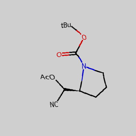 CC(=O)OC(C#N)[C@@H]1CCCN1C(=O)OC(C)(C)C